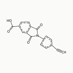 C#Cc1ccc(N2C(=O)c3ccc(C(=O)O)cc3C2=O)cc1